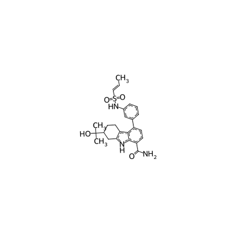 CC=CS(=O)(=O)Nc1cccc(-c2ccc(C(N)=O)c3[nH]c4c(c23)CCC(C(C)(C)O)C4)c1